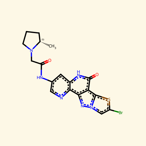 C[C@H]1CCCN1CC(=O)Nc1cnc2c(c1)[nH]c(=O)c1c2nn2cc(Br)sc12